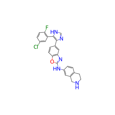 Fc1ccc(Cl)cc1-c1[nH]cnc1-c1ccc2oc(Nc3ccc4c(c3)CNCC4)nc2c1